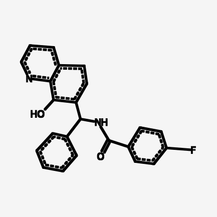 O=C(NC(c1ccccc1)c1ccc2cccnc2c1O)c1ccc(F)cc1